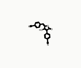 N#Cc1ccc(/C=C2/OC(=O)C(c3ccc(C#N)cc3)=C2O)cc1